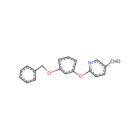 O=Cc1ccc(Oc2cccc(OCc3ccccc3)c2)nc1